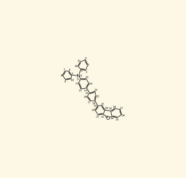 c1ccc(N(c2ccccc2)c2ccc(-c3ccc(-c4ccc5oc6ccccc6c5c4)cc3)cc2)cc1